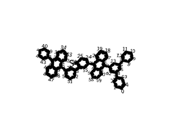 c1ccc(-c2cc(-c3ccccc3)cc(-c3c4ccccc4c(-c4ccc5sc6c(-c7c8ccccc8c(-c8ccccc8)c8ccccc78)cccc6c5c4)c4ccccc34)c2)cc1